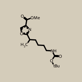 COC(=O)c1coc(C(C)CCCCNC(=O)OC(C)(C)C)n1